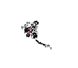 CCCCCCCCC[C@H](OC(=O)[C@@H]1CCCN1C(=O)[C@@H]1CCCN1C[C@H](C(C)C)N(C)C(=O)[C@@H](NC(=O)[C@H]1CCCCN1C)C(C)(C)C)c1ccccc1